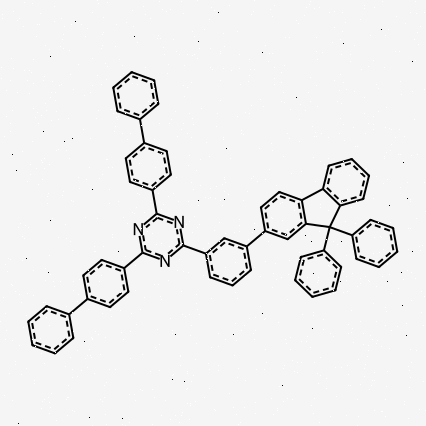 c1ccc(-c2ccc(-c3nc(-c4ccc(-c5ccccc5)cc4)nc(-c4cccc(-c5ccc6c(c5)C(c5ccccc5)(c5ccccc5)c5ccccc5-6)c4)n3)cc2)cc1